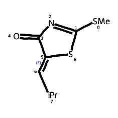 CSC1=NC(=O)/C(=C/C(C)C)S1